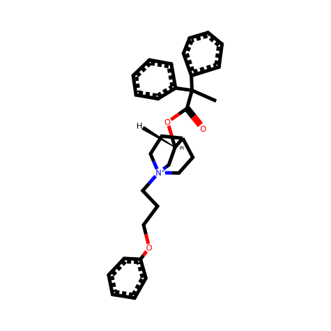 CC(C(=O)O[C@H]1C[N+]2(CCCOc3ccccc3)CCC1CC2)(c1ccccc1)c1ccccc1